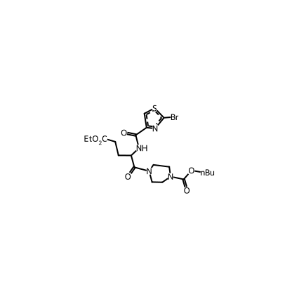 CCCCOC(=O)N1CCN(C(=O)C(CCC(=O)OCC)NC(=O)c2csc(Br)n2)CC1